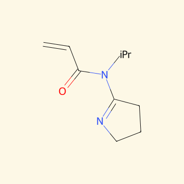 C=CC(=O)N(C1=NCCC1)C(C)C